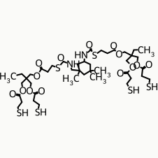 CCC(COC(=O)CCS)(COC(=O)CCS)COC(=O)CCSC(=O)NCC1(C)CC(NC(=O)SCCC(=O)OCC(CC)(COC(=O)CCS)COC(=O)CCS)CC(C)(C)C1